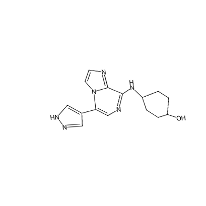 OC1CCC(Nc2ncc(-c3cn[nH]c3)n3ccnc23)CC1